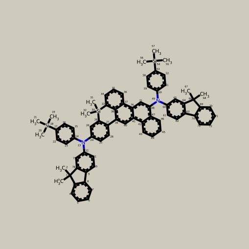 CC1(C)c2ccccc2-c2ccc(N(c3ccc([Si](C)(C)C)cc3)c3ccc4c(c3)[Si](C)(C)c3cccc5c3c-4cc3c4ccccc4c(N(c4ccc([Si](C)(C)C)cc4)c4ccc6c(c4)C(C)(C)c4ccccc4-6)cc53)cc21